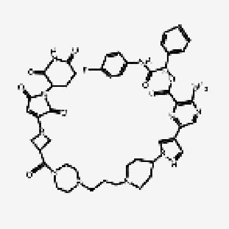 Nc1ncc(-c2cnn(C3CCN(CCCN4CCN(C(=O)C5CN(C6=CC(=O)N(C7CCC(=O)NC7=O)C6=O)C5)CC4)CC3)c2)nc1C(=O)O[C@@H](C(=O)Nc1ccc(F)cc1)c1ccccc1